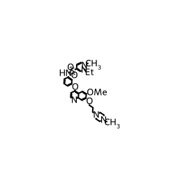 CCN1C=C(S(=O)(=O)Nc2cccc(Oc3ccnc4cc(OCCCN5CCN(C)CC5)c(OC)cc34)c2)C=CN1C